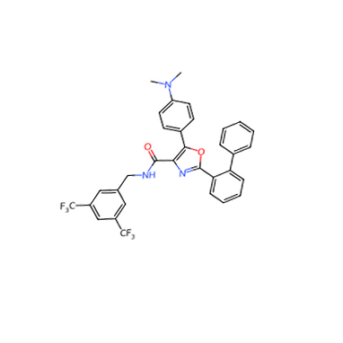 CN(C)c1ccc(-c2oc(-c3ccccc3-c3ccccc3)nc2C(=O)NCc2cc(C(F)(F)F)cc(C(F)(F)F)c2)cc1